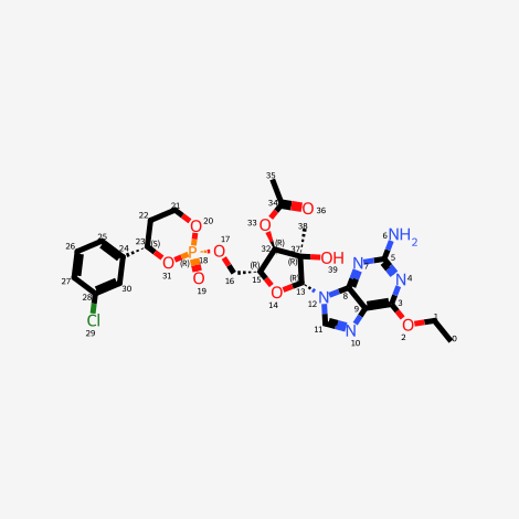 CCOc1nc(N)nc2c1ncn2[C@@H]1O[C@H](CO[P@@]2(=O)OCC[C@@H](c3cccc(Cl)c3)O2)[C@@H](OC(C)=O)[C@@]1(C)O